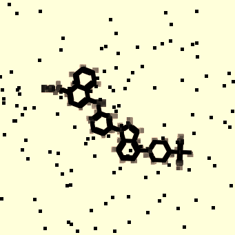 CCOC(=O)c1ccc(Nc2nccc(-n3ncc4c(N5CCC(S(C)(=O)=O)CC5)cccc43)n2)c2ccccc12